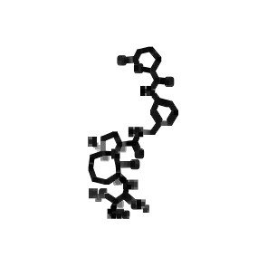 C=C(N[C@H]1CCCC[C@H]2CC[C@@H](C(=O)NCc3cccc(NC(=O)C4CCCC(=O)O4)c3)N2C1=O)[C@H](C)NC